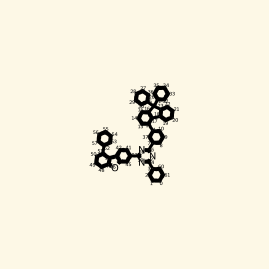 c1ccc(-c2nc(-c3cccc(-c4cccc5c4-c4ccccc4C5(c4ccccc4)c4ccccc4)c3)nc(-c3ccc4c(c3)oc3cccc(-c5ccccc5)c34)n2)cc1